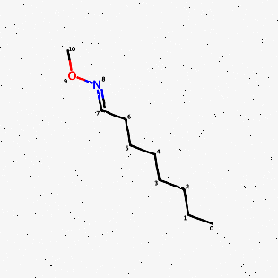 CCCCCCCC=NOC